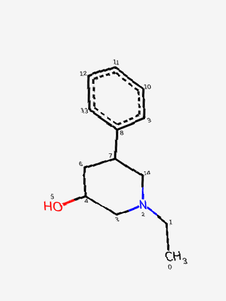 CCN1CC(O)CC(c2ccccc2)C1